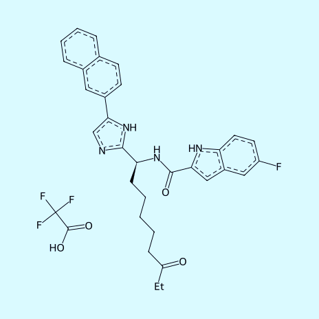 CCC(=O)CCCCC[C@H](NC(=O)c1cc2cc(F)ccc2[nH]1)c1ncc(-c2ccc3ccccc3c2)[nH]1.O=C(O)C(F)(F)F